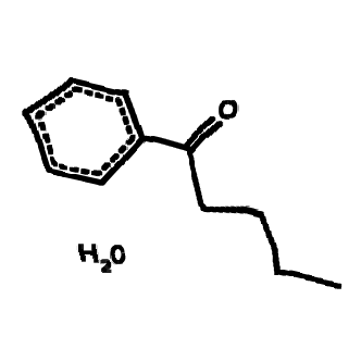 CCCCC(=O)c1ccccc1.O